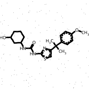 COc1ccc(C(C)(C)c2csc(NC(=O)NC3CCCC(O)C3)n2)cc1